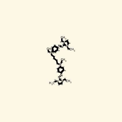 CCN(CCCCCN(CC)c1ccc(N=Nc2n(CC)cc[n+]2CC)cc1)c1ccc(N=Nc2n(CC)cc[n+]2CC)cc1